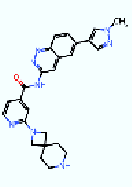 Cn1cc(-c2ccc3nnc(NC(=O)c4ccnc(N5CC6(CCNCC6)C5)c4)cc3c2)cn1